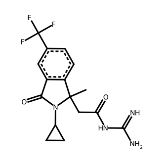 CC1(CC(=O)NC(=N)N)c2ccc(C(F)(F)F)cc2C(=O)N1C1CC1